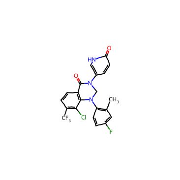 Cc1cc(F)ccc1N1CN(c2ccc(=O)[nH]c2)C(=O)c2ccc(C(F)(F)F)c(Cl)c21